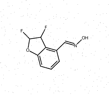 ON=Cc1cccc2c1C(F)C(F)O2